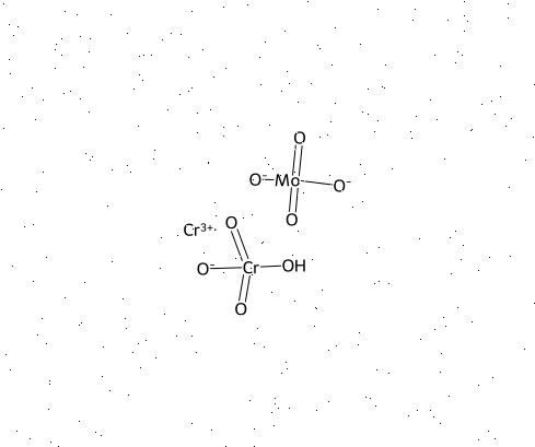 [Cr+3].[O]=[Cr](=[O])([O-])[OH].[O]=[Mo](=[O])([O-])[O-]